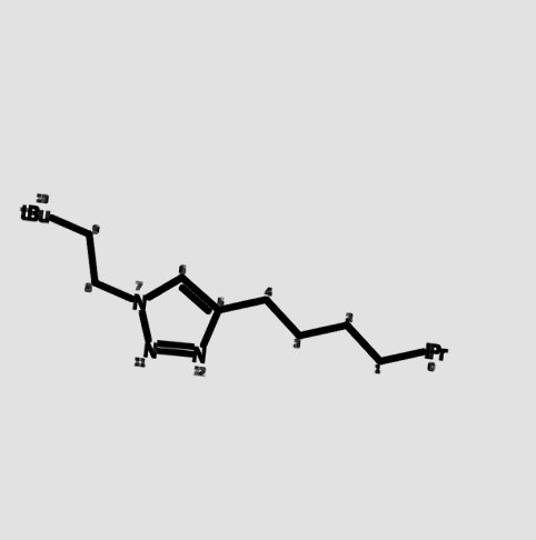 CC(C)CCCCc1cn(CCC(C)(C)C)nn1